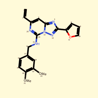 C=Cc1cc2nc(-c3ccco3)nn2c(NCc2ccc(OC)c(OC)c2)n1